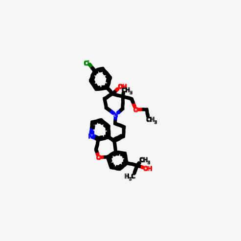 CCOCC1(C)CN(CCC=C2c3cc(C(C)(C)O)ccc3OCc3ncccc32)CCC1(O)c1ccc(Cl)cc1